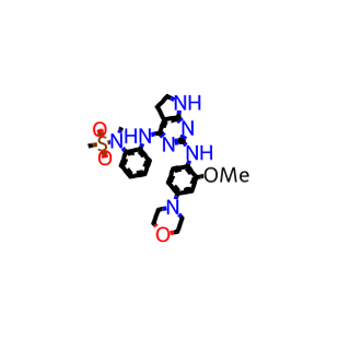 COc1cc(N2CCOCC2)ccc1Nc1nc2c(c(Nc3ccccc3N(C)S(C)(=O)=O)n1)CCN2